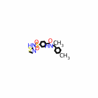 Cc1ccc([C@H](C)NC(=O)c2ccc(S(=O)(=O)Nc3nccs3)cc2)cc1